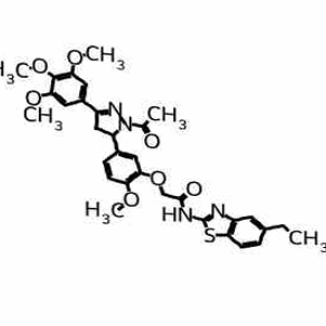 CCc1ccc2sc(NC(=O)COc3cc(C4CC(c5cc(OC)c(OC)c(OC)c5)=NN4C(C)=O)ccc3OC)nc2c1